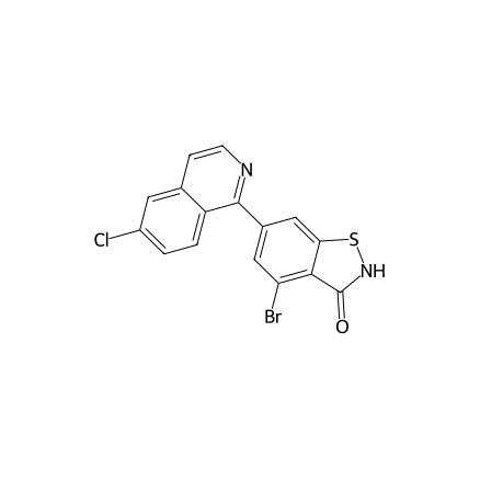 O=c1[nH]sc2cc(-c3nccc4cc(Cl)ccc34)cc(Br)c12